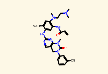 C=CC(=O)Nc1cc(Nc2ncc3c(n2)N(C)C(=O)N(c2cccc(C#N)c2)C3)c(OC)cc1N(C)CCN(C)C